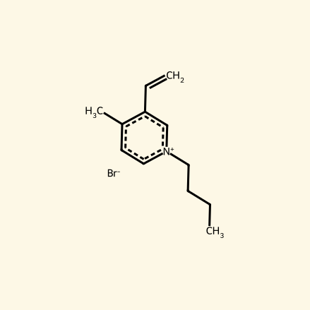 C=Cc1c[n+](CCCC)ccc1C.[Br-]